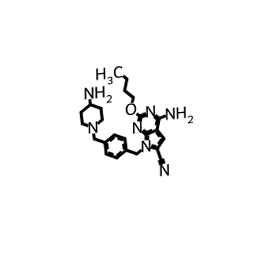 CCCCOc1nc(N)c2cc(C#N)n(Cc3ccc(CN4CCC(N)CC4)cc3)c2n1